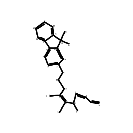 C=C/C=C\C(C)/C(C)=C(/I)CCCc1ccc2c(c1)C(C)(C)c1ccccc1-2